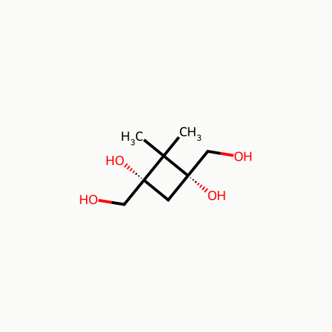 CC1(C)[C@@](O)(CO)C[C@@]1(O)CO